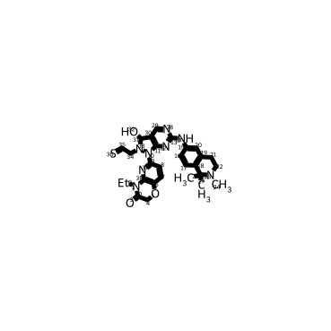 CCN1C(=O)COc2ccc(N3c4nc(Nc5ccc6c(c5)CCN(C)C6(C)C)ncc4C(O)N3CC=S)nc21